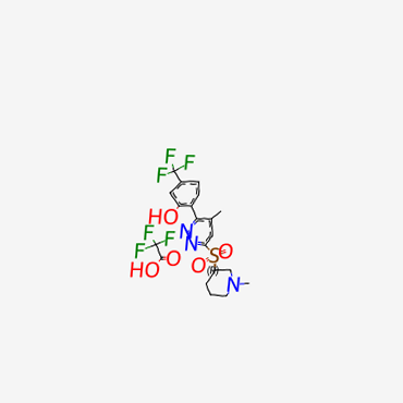 Cc1cc(S(=O)(=O)[C@@H]2CCCN(C)C2)nnc1-c1ccc(C(F)(F)F)cc1O.O=C(O)C(F)(F)F